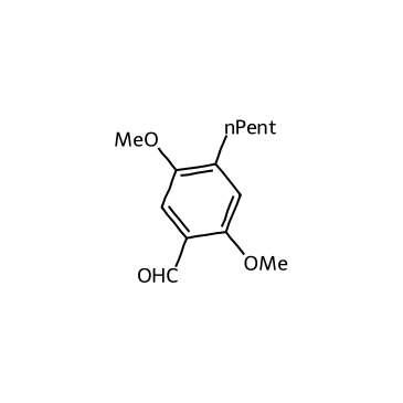 CCCCCc1cc(OC)c(C=O)cc1OC